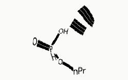 C#C.C#C.CCCO[PH](=O)O